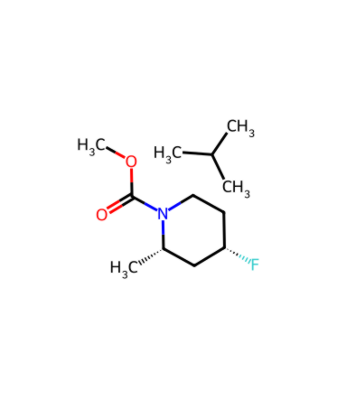 CC(C)C.COC(=O)N1CC[C@H](F)C[C@@H]1C